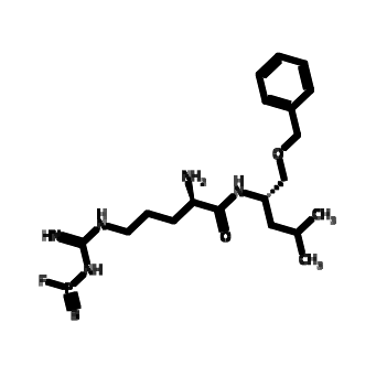 B#P(F)NC(=N)NCCC[C@@H](N)C(=O)N[C@H](COCc1ccccc1)CC(C)C